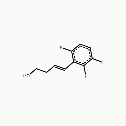 OCCC=Cc1c(F)ccc(F)c1F